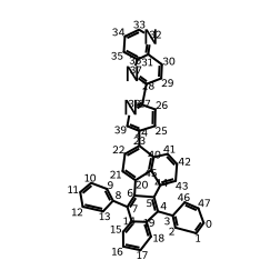 c1ccc(-c2c3c(c(-c4ccccc4)c4ccccc24)-c2ccc(-c4ccc(-c5ccc6ncccc6n5)nc4)c4cccc-3c24)cc1